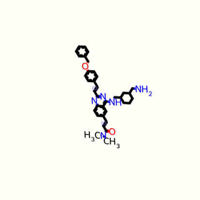 CN(C)C(=O)/C=C/c1ccc2nc(/C=C/c3ccc(OCc4ccccc4)cc3)nc(NCC3CCCC(CN)C3)c2c1